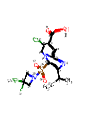 CC(C)c1nc2cc(C(=O)O)c(Cl)cn2c1S(=O)(=O)N1CC(F)(F)C1